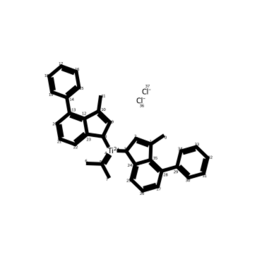 CC1=C[CH]([Ti+2](=[C](C)C)[CH]2C=C(C)c3c(-c4ccccc4)cccc32)c2cccc(-c3ccccc3)c21.[Cl-].[Cl-]